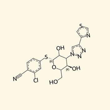 N#Cc1ccc(S[C@H]2OC(CO)[C@H](O)C(n3cc(-c4cscn4)nn3)C2O)cc1Cl